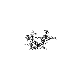 C[C@@H](O)[C@H](NC(=O)[C@H](CO)NC(=O)[C@H](CC(=O)O)NC(=O)CNC(=O)[C@H](CCCNC(=N)N)NC(=O)[C@@H](N)CC(N)=O)C(=O)N[C@@H](Cc1ccccc1)C(=O)N[C@@H](CCC(=O)O)C(=O)N[C@@H](CO)C(=O)N[C@@H](CCCCN)C(=O)N[C@@H](CO)C(=O)N[C@@H](Cc1ccc(O)cc1)C(=O)N[C@@H](CCCCN)C(=O)O